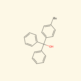 CCC(C)c1ccc(C(O)(c2ccccc2)c2ccccc2)cc1